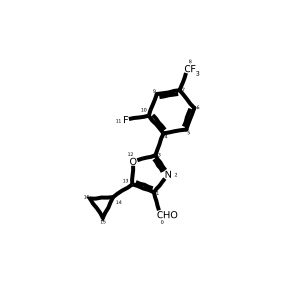 O=Cc1nc(-c2ccc(C(F)(F)F)cc2F)oc1C1CC1